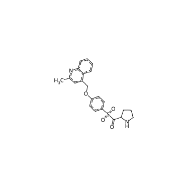 Cc1cc(COc2ccc(S(=O)(=O)C(=O)C3CCCN3)cc2)c2ccccc2n1